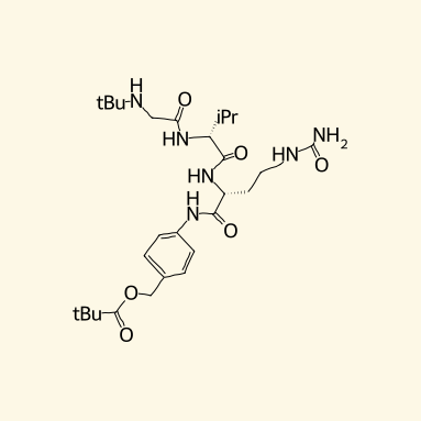 CC(C)[C@@H](NC(=O)CNC(C)(C)C)C(=O)N[C@H](CCCNC(N)=O)C(=O)Nc1ccc(COC(=O)C(C)(C)C)cc1